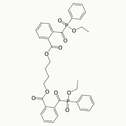 CCOP(=O)(C(=O)c1ccccc1C(=O)OCCCCOC(=O)c1ccccc1C(=O)P(=O)(OCC)c1ccccc1)c1ccccc1